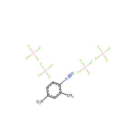 Cc1cc([N+](=O)[O-])ccc1[N+]#N.F[B-](F)(F)F.F[B-](F)(F)F.F[B-](F)(F)F.F[B-](F)(F)F